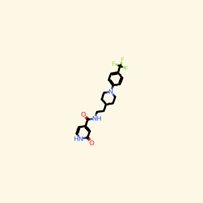 O=C(NCCC1CCN(c2ccc(C(F)(F)F)cc2)CC1)c1cc[nH]c(=O)c1